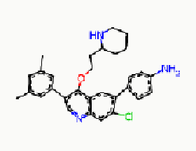 Cc1cc(C)cc(-c2cnc3cc(Cl)c(-c4ccc(N)cc4)cc3c2OCCC2CCCCN2)c1